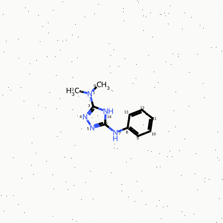 CN(C)c1nnc(Nc2ccccc2)[nH]1